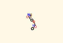 CN(C)N1C(=O)C(=Cc2ccc(OCCc3coc(-c4ccccc4)n3)cc2)SC1=S